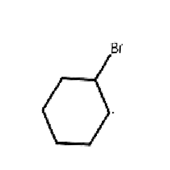 BrC1[CH]CCCC1